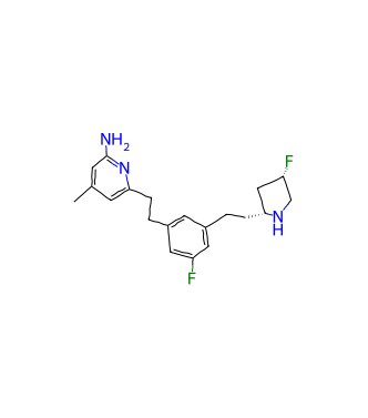 Cc1cc(N)nc(CCc2cc(F)cc(CC[C@@H]3C[C@H](F)CN3)c2)c1